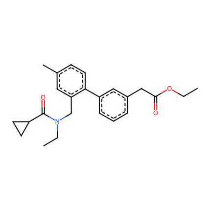 CCOC(=O)Cc1cccc(-c2ccc(C)cc2CN(CC)C(=O)C2CC2)c1